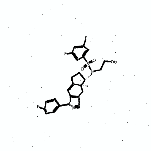 C[C@]12Cc3cnn(-c4ccc(F)cc4)c3C=C1CC[C@@H]2CN(CCO)S(=O)(=O)c1cc(F)cc(F)c1